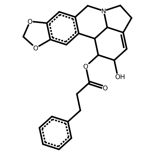 O=C(CCc1ccccc1)OC1C(O)C=C2CCN3Cc4cc5c(cc4C1C23)OCO5